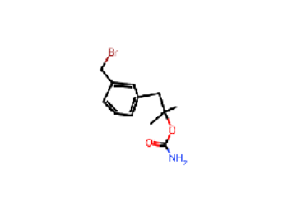 CC(C)(Cc1cccc(CBr)c1)OC(N)=O